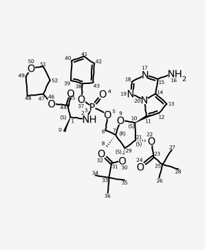 C[C@H](NP(=O)(OC[C@@]1(C)O[C@@H](c2ccc3c(N)ncnn23)[C@H](OC(=O)C(C)(C)C)[C@@H]1OC(=O)C(C)(C)C)Oc1ccccc1)C(=O)OC1CCOCC1